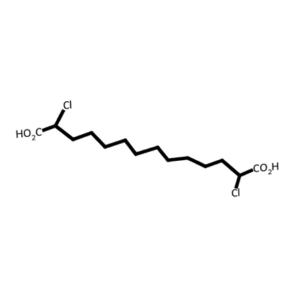 O=C(O)C(Cl)CCCCCCCCCCC(Cl)C(=O)O